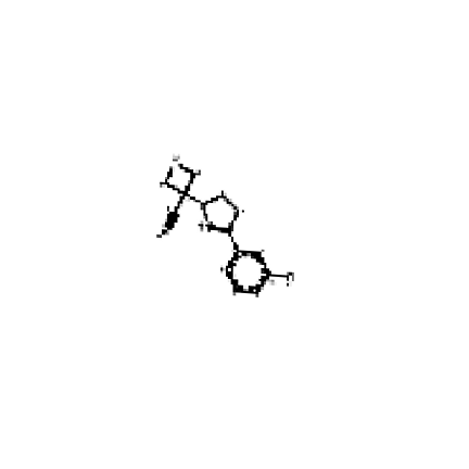 N#CC1([C@H]2CC[C@@H](c3cccc(Cl)c3)N2)COC1